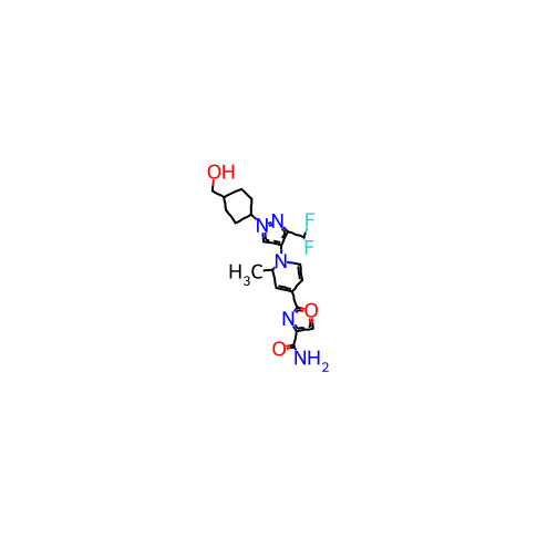 CC1C=C(c2nc(C(N)=O)co2)C=CN1c1cn(C2CCC(CO)CC2)nc1C(F)F